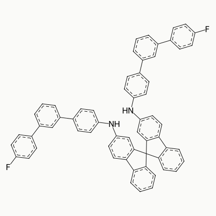 Fc1ccc(-c2cccc(-c3ccc(Nc4ccc5c(c4)C4(c6ccccc6-5)c5ccccc5-c5ccc(Nc6ccc(-c7cccc(-c8ccc(F)cc8)c7)cc6)cc54)cc3)c2)cc1